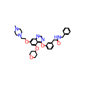 CN1CCN(CCOc2cc(OC3CCOCC3)c3c(Oc4cccc(CC(=O)NCc5ccccc5)c4)ncnc3c2)CC1